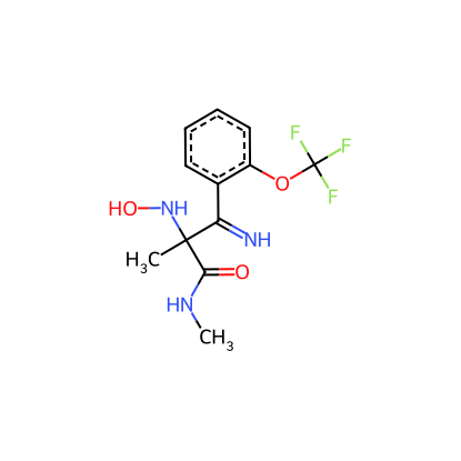 CNC(=O)C(C)(NO)C(=N)c1ccccc1OC(F)(F)F